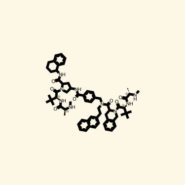 CN[C@@H](C)C(=O)N[C@H](C(=O)N1CC(NC(=O)c2ccc(CN(CCc3ccc4ccccc4c3)C(=O)C3Cc4ccccc4CN3C(=O)[C@@H](NC(=O)[C@H](C)NC)C(C)(C)C)cc2)CC1C(=O)NC1CCCc2ccccc21)C(C)(C)C